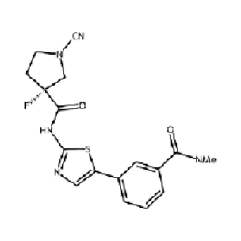 CNC(=O)c1cccc(-c2cnc(NC(=O)[C@@]3(F)CCN(C#N)C3)s2)c1